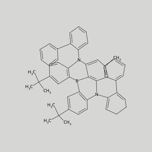 Cc1cc2c3c(c1)N(c1ccccc1-c1ccccc1)c1ccc(C(C)(C)C)cc1B3c1cc(C(C)(C)C)ccc1N2C1=CCCC=C1c1ccccc1